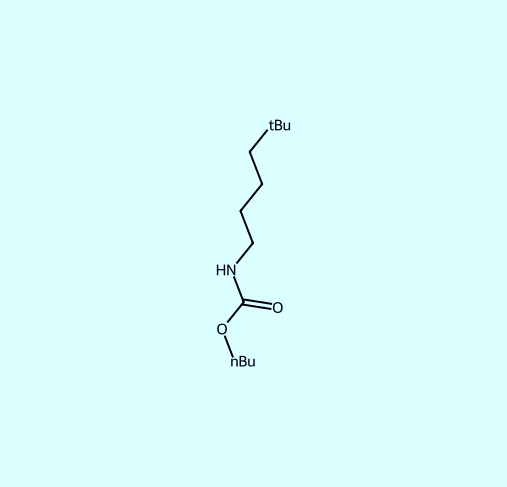 CCCCOC(=O)NCCCCC(C)(C)C